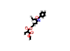 CCOC(=O)C(CC)C(=O)OCCCCc1nc(-c2ccc(C)cc2)oc1CC